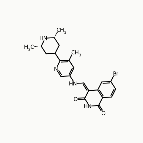 Cc1cc(N/C=C2\C(=O)NC(=O)c3ccc(Br)cc32)cnc1C1C[C@@H](C)N[C@@H](C)C1